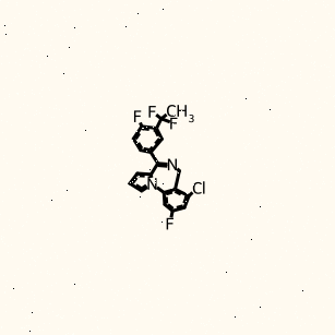 CC(F)(F)c1cc(C2=NCc3c(Cl)cc(F)cc3-n3cccc32)ccc1F